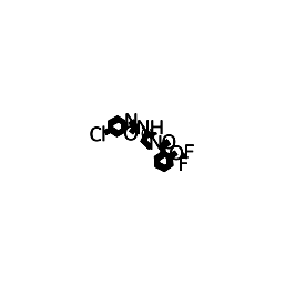 O=C(c1ccccc1OC(F)F)N1CC[C@@H](Nc2nc3ccc(Cl)cc3o2)C1